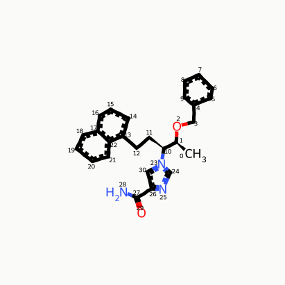 C[C@H](OCc1ccccc1)[C@H](CCc1cccc2ccccc12)n1cnc(C(N)=O)c1